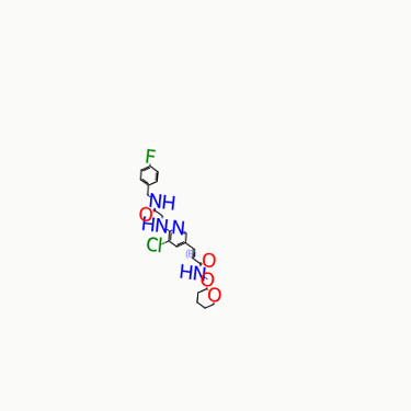 O=C(/C=C/c1cnc(NCC(=O)NCc2ccc(F)cc2)c(Cl)c1)NOC1CCCCO1